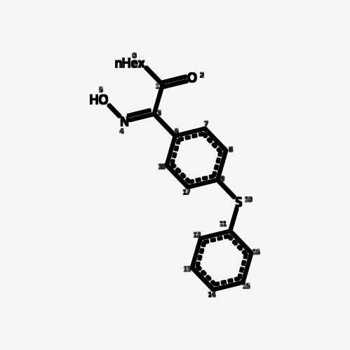 CCCCCCC(=O)C(=NO)c1ccc(Sc2ccccc2)cc1